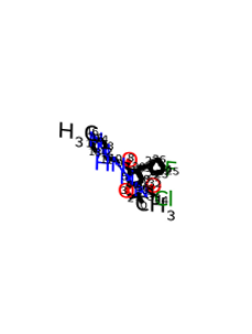 CC1COc2nc(C(=O)NCCN3CCN(C)CC3)c(Cc3ccc(F)cc3)cc2N1C(=O)CCl